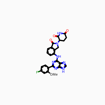 COc1cc(F)ccc1-c1nc(Nc2cccc3c2CN(C2CCC(=O)NC2=O)C3=O)c2nc[nH]c2n1